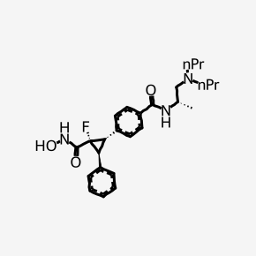 CCCN(CCC)C[C@H](C)NC(=O)c1ccc([C@@H]2[C@@H](c3ccccc3)[C@@]2(F)C(=O)NO)cc1